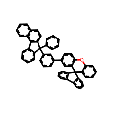 c1ccc(C2(c3cccc(-c4ccc5c(c4)C4(c6ccccc6O5)c5ccccc5-c5ccccc54)c3)c3ccccc3-c3c2ccc2ccccc32)cc1